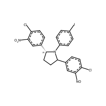 O=Nc1cc(C2CC[C@H](c3ccc(Cl)c([N+](=O)[O-])c3)N2c2ccc(I)cc2)ccc1Cl